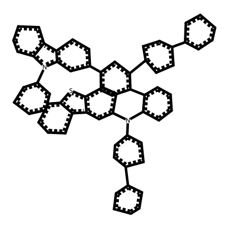 c1ccc(-c2ccc(-c3cc(-c4ccc5c6ccccc6n(-c6ccccc6)c5c4)ccc3-c3ccccc3N(c3ccc(-c4ccccc4)cc3)c3ccc4sc5ccccc5c4c3)cc2)cc1